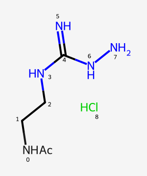 CC(=O)NCCNC(=N)NN.Cl